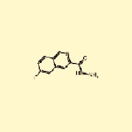 NNC(=O)c1cc2cc(F)ccc2cn1